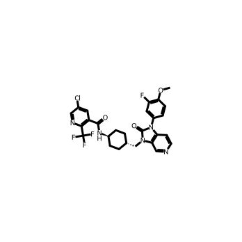 COc1ccc(-n2c(=O)n(C[C@H]3CC[C@H](NC(=O)c4cc(Cl)cnc4C(F)(F)F)CC3)c3cnccc32)cc1F